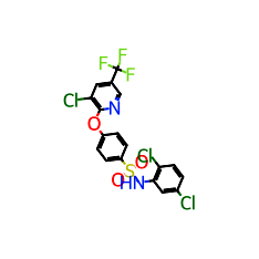 O=S(=O)(Nc1cc(Cl)ccc1Cl)c1ccc(Oc2ncc(C(F)(F)F)cc2Cl)cc1